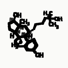 C=C[C@@]12CCc3cc(O)ccc3[C@H]1[C@@H](CCCCC(C)(C)O)C[C@@]1(C)[C@H]2CC[C@@H]1O